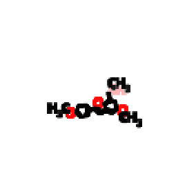 CBCc1cc(OC)cc2cc(-c3ccc(OC)cc3)oc12